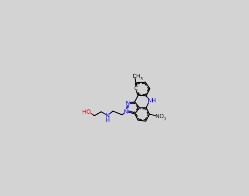 Cc1ccc2c(c1)-c1nn(CCNCCO)c3ccc([N+](=O)[O-])c(c13)N2